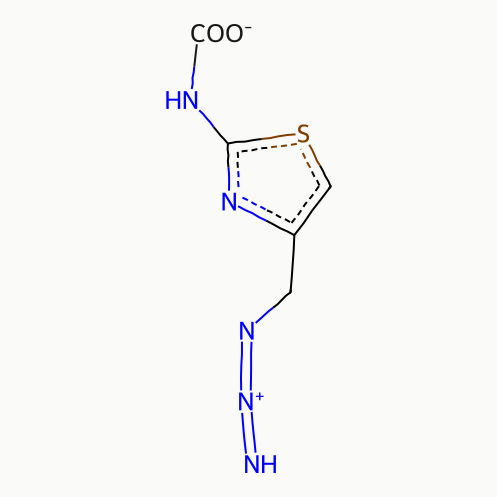 N=[N+]=NCc1csc(NC(=O)[O-])n1